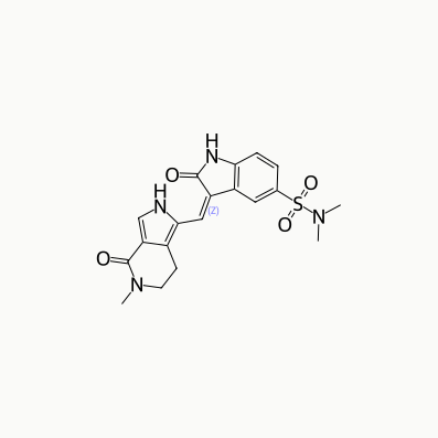 CN1CCc2c(c[nH]c2/C=C2\C(=O)Nc3ccc(S(=O)(=O)N(C)C)cc32)C1=O